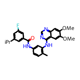 COc1cc2ncnc(Nc3cc(NC(=O)c4cc(F)cc(C(C)C)c4)ccc3C)c2cc1OC